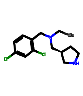 CC(C)(C)CN(Cc1ccc(Cl)cc1Cl)C[C@H]1CCNC1